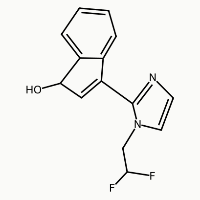 OC1C=C(c2nccn2CC(F)F)c2ccccc21